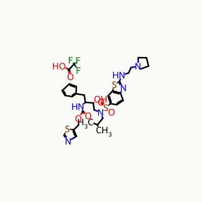 CC(C)CN(CC(O)C(Cc1ccccc1)NC(=O)OCc1cncs1)S(=O)(=O)c1ccc2nc(NCCN3CCCC3)sc2c1.O=C(O)C(F)(F)F